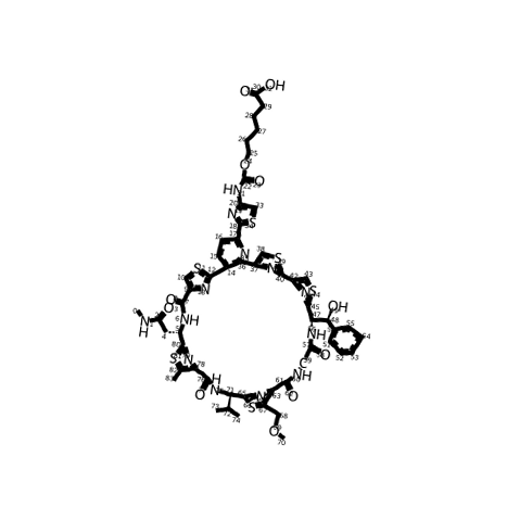 CNC(=O)C[C@@H]1NC(=O)c2csc(n2)-c2ccc(-c3nc(NC(=O)OCCCCCC(=O)O)cs3)nc2-c2csc(n2)-c2csc(n2)[C@H]([C@@H](O)c2ccccc2)NC(=O)CNC(=O)c2nc(sc2COC)[C@@H](C(C)C)NC(=O)c2nc1sc2C